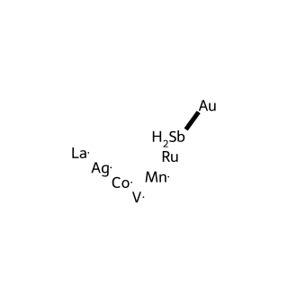 [Ag].[Co].[La].[Mn].[Ru].[SbH2][Au].[V]